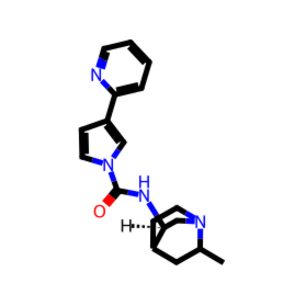 CC1CC2CCN1C[C@@H]2NC(=O)n1ccc(-c2ccccn2)c1